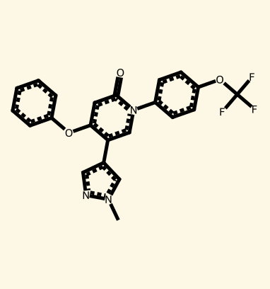 Cn1cc(-c2cn(-c3ccc(OC(F)(F)F)cc3)c(=O)cc2Oc2ccccc2)cn1